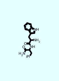 CC(C)CC(NC(=O)C(N)Cc1c[nH]c2ccccc12)C(N)=O